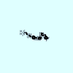 CN(C)CCNC(=O)COc1ccc(-c2nc3c(NC4CCN(Cc5ccc(F)c(F)c5)C4)c(Cl)cnc3[nH]2)cc1